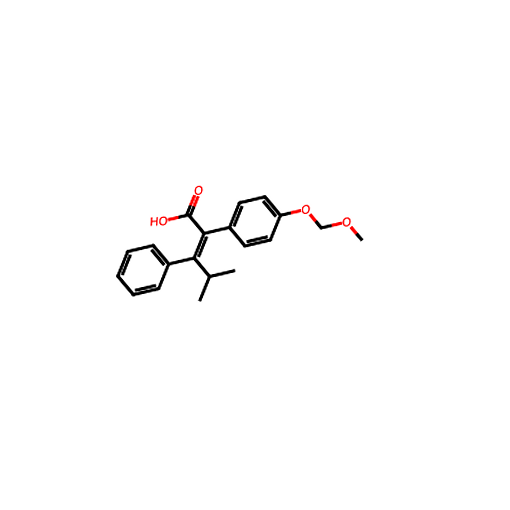 COCOc1ccc(/C(C(=O)O)=C(/c2ccccc2)C(C)C)cc1